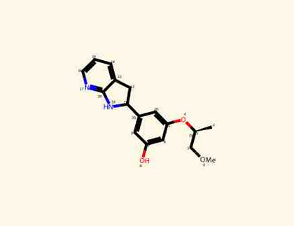 COC[C@H](C)Oc1cc(O)cc(C2Cc3cccnc3N2)c1